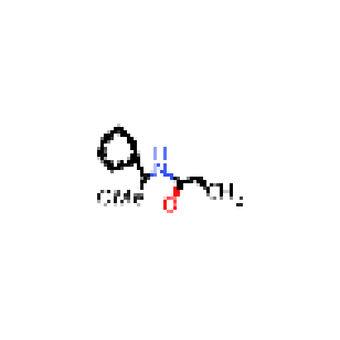 C=CC(=O)NC(OC)c1ccccc1